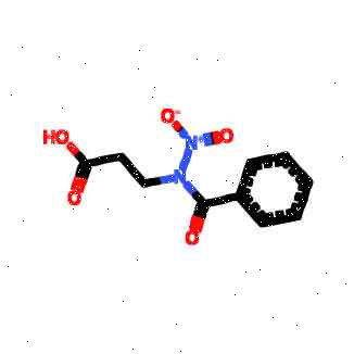 O=C(O)CCN(C(=O)c1ccccc1)[N+](=O)[O-]